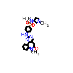 CN1CCC(N(C)S(=O)(=O)c2ccc(Nc3ncc4c(n3)-c3ccccc3N(C)C(=O)C4)cc2)C1